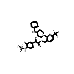 CC(C(=O)NCc1ccc(C(F)(F)F)nc1N1CCC(Nc2ccccc2)CC1)c1ccc(NS(C)(=O)=O)c(F)c1